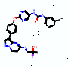 CC(O)(I)CNc1ccn2ncc(-c3ccc(Oc4ncc(NC(=O)Nc5cccc(C(F)(F)F)c5)cn4)cc3)c2n1